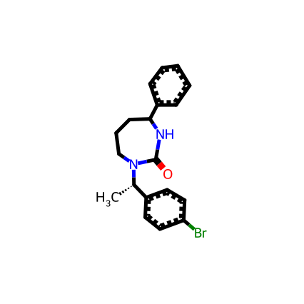 C[C@@H](c1ccc(Br)cc1)N1CCCC(c2ccccc2)NC1=O